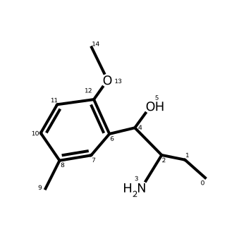 CCC(N)C(O)c1cc(C)ccc1OC